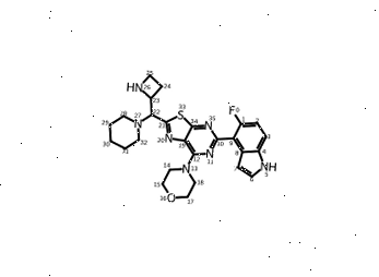 Fc1ccc2[nH]ccc2c1-c1nc(N2CCOCC2)c2nc(C(C3CCN3)N3CCCCC3)sc2n1